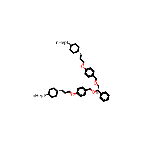 CCCCCCC[C@H]1CC[C@H](CCCOc2ccc(COC[C@H](OCc3ccc(OCCC[C@H]4CC[C@H](CCCCCCC)CC4)cc3)c3ccccc3)cc2)CC1